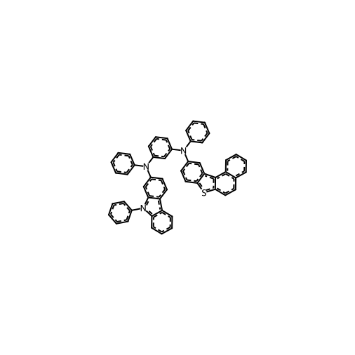 c1ccc(N(c2cccc(N(c3ccccc3)c3ccc4c5ccccc5n(-c5ccccc5)c4c3)c2)c2ccc3sc4ccc5ccccc5c4c3c2)cc1